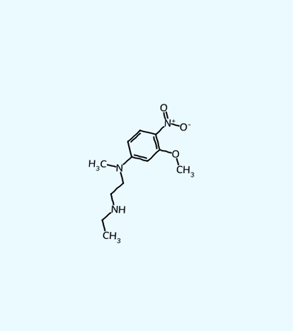 CCNCCN(C)c1ccc([N+](=O)[O-])c(OC)c1